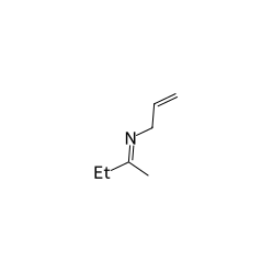 C=CCN=C(C)CC